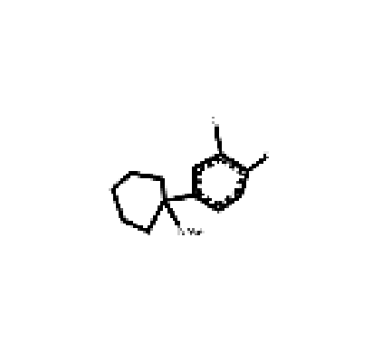 CNC1(c2ccc(F)c(Cl)c2)CCCCC1